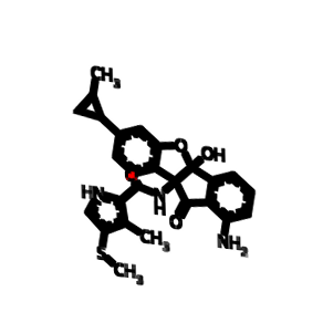 CSc1c[nH]c(C(=O)NC23C(=O)c4c(N)cccc4C2(O)Oc2cc(C4CC4C)ccc23)c1C